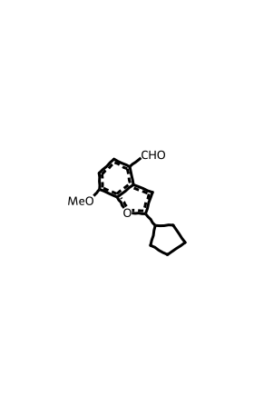 COc1ccc(C=O)c2cc(C3CCCC3)oc12